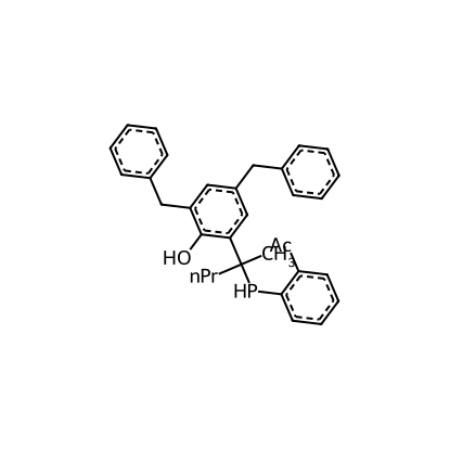 CCCC(C)(Pc1ccccc1C(C)=O)c1cc(Cc2ccccc2)cc(Cc2ccccc2)c1O